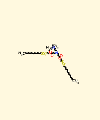 CCCCCCCCCCCCSSSCCOC(=O)CCN(CCCN(C)C)CCC(=O)OCCSSSCCCCCCCCCCCC